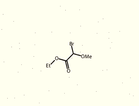 CCOC(=O)C(Br)OC